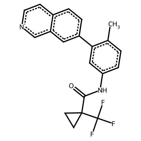 Cc1ccc(NC(=O)C2(C(F)(F)F)CC2)cc1-c1ccc2ccncc2c1